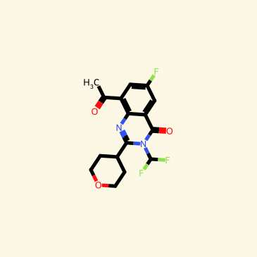 CC(=O)c1cc(F)cc2c(=O)n(C(F)F)c(C3CCOCC3)nc12